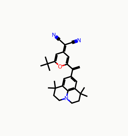 C=C(C1=CC(=C(C#N)C#N)C=C(C(C)(C)C)O1)c1cc2c3c(c1)C(C)(C)CCN3CCC2(C)C